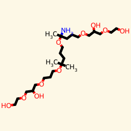 CC(C)(CCCOC(C)(N)CCCOCC(O)COCCO)OCCCOCC(O)COCCO